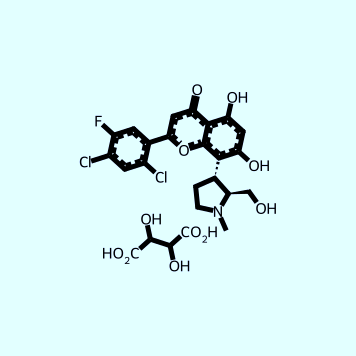 CN1CC[C@H](c2c(O)cc(O)c3c(=O)cc(-c4cc(F)c(Cl)cc4Cl)oc23)[C@H]1CO.O=C(O)C(O)C(O)C(=O)O